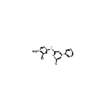 Oc1ccc(Nc2nc(Cl)cc(-c3ccccc3)n2)cc1Cl